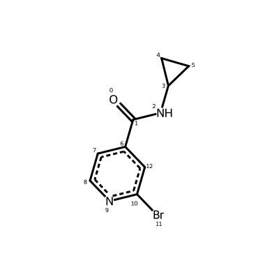 O=C(NC1CC1)c1ccnc(Br)c1